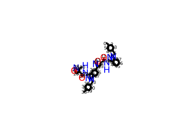 Cc1ccc(Cn2nc(NC(=O)c3cc(-c4ccc5c(c4)c(NC(=O)c4conc4C)nn5Cc4ccc(C)cc4)no3)c3ccccc32)cc1